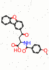 COc1ccc(C(=O)NC(CC(=O)c2ccc3oc4ccccc4c3c2)C(=O)O)cc1